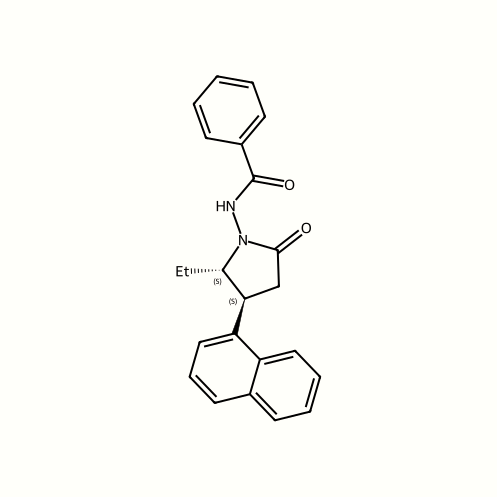 CC[C@H]1[C@H](c2cccc3ccccc23)CC(=O)N1NC(=O)c1ccccc1